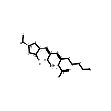 C=C(C)C/C(=C\C(=C\[C@@H]1C[C@H](CC)CC1F)CN)CCCCC